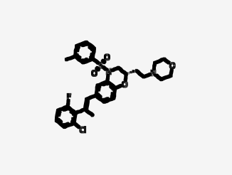 C/C(=C\c1ccc2c(c1)N(S(=O)(=O)c1cccc(C)c1)C[C@H](CCN1CCOCC1)O2)c1c(F)cccc1Cl